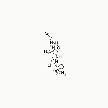 CC(=O)N1CC(N2CCN3c4c(C)cc(Nc5ncc(Cl)c(Nc6ccccc6P(C)(C)=O)n5)cc4OC[C@H]3C2)C1